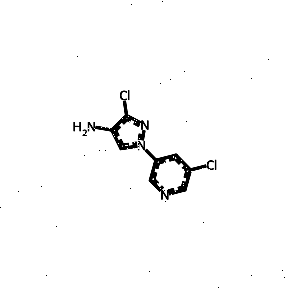 Nc1cn(-c2cncc(Cl)c2)nc1Cl